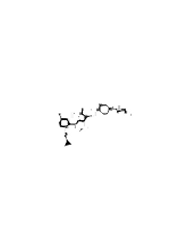 COCC(=O)N[C@@H]1CC[C@@H](NC(=O)c2c(C)[nH]c3c(-c4cc(C(F)F)ccc4OCC4CC4)ncnc23)[C@H](F)C1